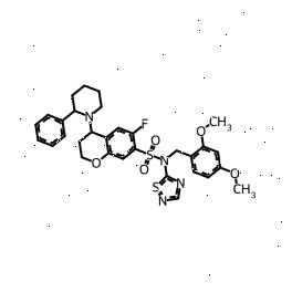 COc1ccc(CN(c2ncns2)S(=O)(=O)c2cc3c(cc2F)C(N2CCCCC2c2ccccc2)CCO3)c(OC)c1